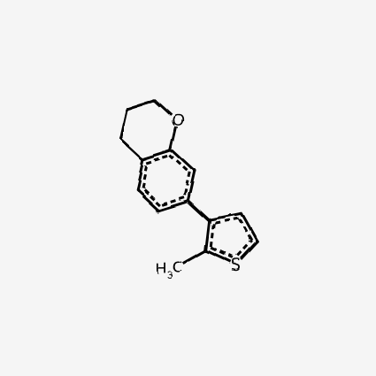 Cc1sccc1-c1ccc2c(c1)OCCC2